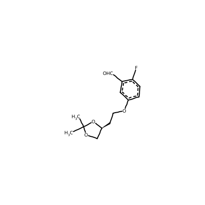 CC1(C)OC[C@H](CCOc2ccc(F)c(C=O)c2)O1